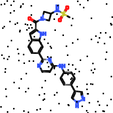 CS(=O)(=O)NC1CN(C(=O)c2cc3ccc(-c4nccc(Nc5ccc(-c6cn[nH]c6)cc5)n4)cc3[nH]2)C1